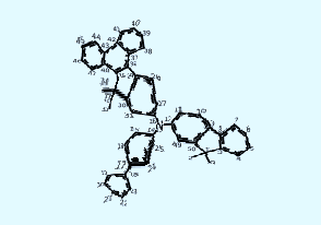 CC1(C)c2ccccc2-c2ccc(N(c3ccc(-c4ccccc4)cc3)c3ccc4c(c3)C(C)(C)c3c-4c4ccccc4c4ccccc34)cc21